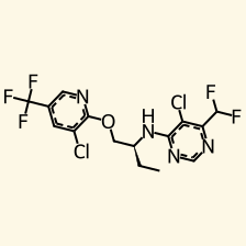 CC[C@@H](COc1ncc(C(F)(F)F)cc1Cl)Nc1ncnc(C(F)F)c1Cl